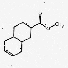 COC(=O)C1CCC2CC=CCC2C1